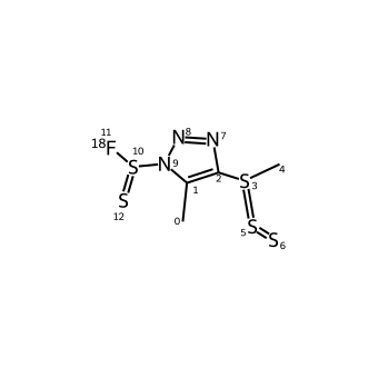 Cc1c(S(C)=S=S)nnn1S([18F])=S